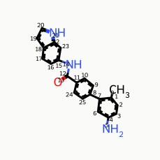 Cc1ccc(N)cc1-c1ccc(C(=O)Nc2ccc3cc[nH]c3c2)cc1